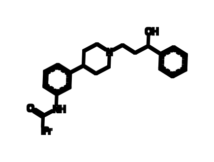 CC(C)C(=O)Nc1cccc(C2CCN(CCC(O)c3ccccc3)CC2)c1